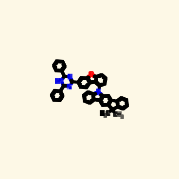 CC1(C)c2ccccc2-c2cc3c(cc21)c1ccccc1n3-c1cccc2oc3cc(C4=NC(c5ccccc5)NC(c5ccccc5)=N4)ccc3c12